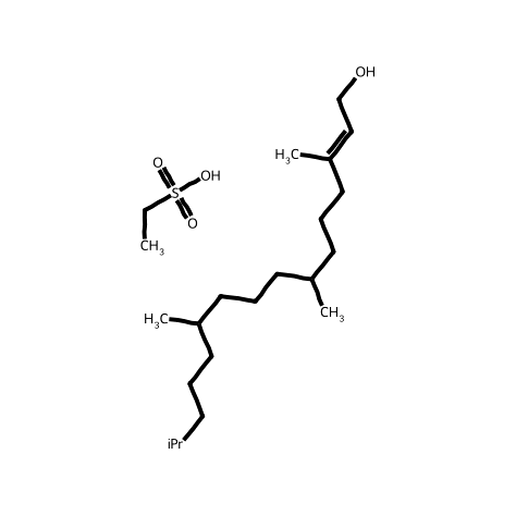 C/C(=C\CO)CCCC(C)CCCC(C)CCCC(C)C.CCS(=O)(=O)O